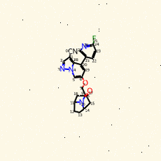 N#Cc1cnn2cc(OCCN3C4CCC3CC(=O)C4)cc(-c3ccc(F)nc3)c12